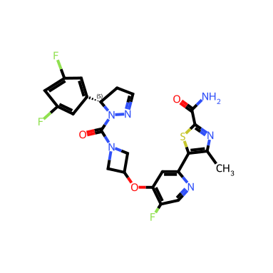 Cc1nc(C(N)=O)sc1-c1cc(OC2CN(C(=O)N3N=CC[C@H]3c3cc(F)cc(F)c3)C2)c(F)cn1